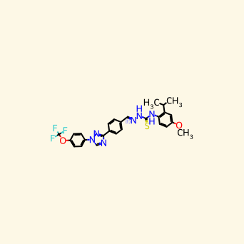 COc1ccc(NC(=S)N/N=C/c2ccc(-c3ncn(-c4ccc(OC(F)(F)F)cc4)n3)cc2)c(C(C)C)c1